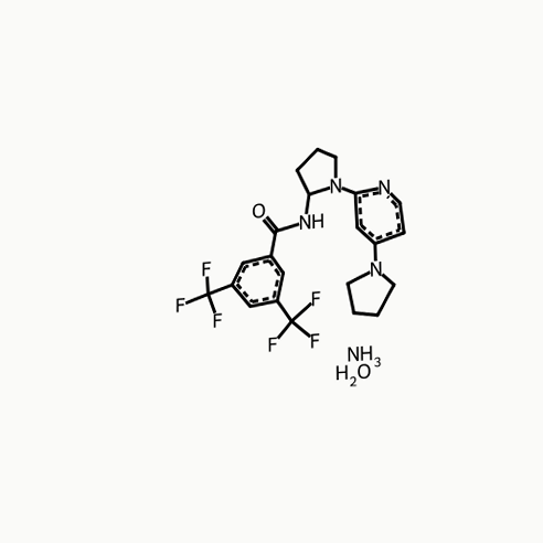 N.O.O=C(NC1CCCN1c1cc(N2CCCC2)ccn1)c1cc(C(F)(F)F)cc(C(F)(F)F)c1